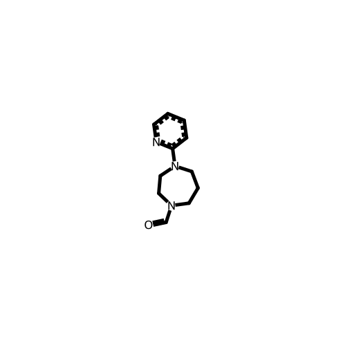 O=CN1CCCN(c2ccccn2)CC1